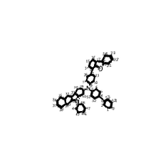 c1ccc(-c2ccc(N(c3ccc(-c4cccc5c4oc4ccccc45)cc3)c3ccc4c5cc6ccccc6cc5n(-c5ccccc5)c4c3)cc2)cc1